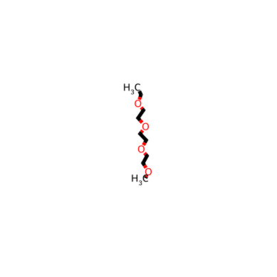 CCOCCOCCOCCOC